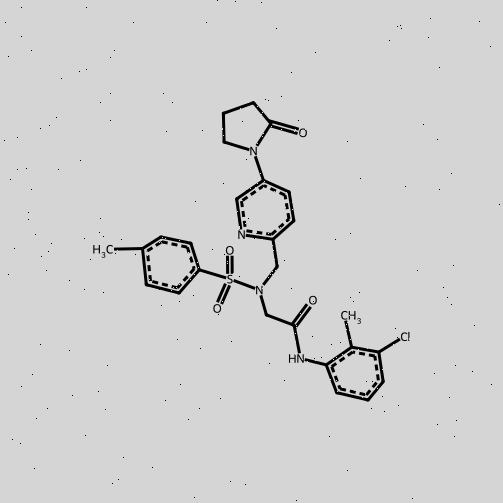 Cc1ccc(S(=O)(=O)N(CC(=O)Nc2cccc(Cl)c2C)Cc2ccc(N3CCCC3=O)cn2)cc1